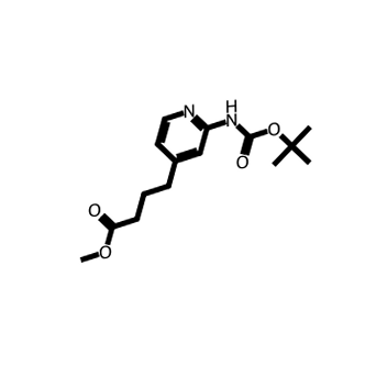 COC(=O)CCCc1ccnc(NC(=O)OC(C)(C)C)c1